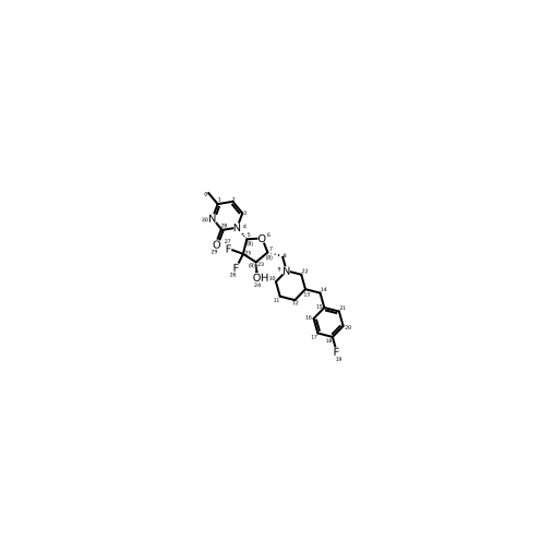 Cc1ccn([C@@H]2O[C@H](CN3CCCC(Cc4ccc(F)cc4)C3)[C@@H](O)C2(F)F)c(=O)n1